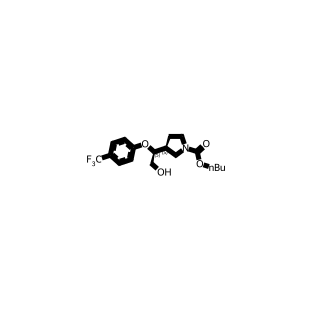 CCCCOC(=O)N1CC[C@H]([C@@H](CO)Oc2ccc(C(F)(F)F)cc2)C1